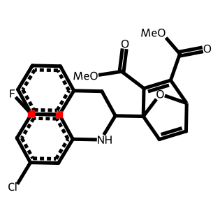 COC(=O)C1=C(C(=O)OC)C2(C(Cc3ccccc3)Nc3cc(F)cc(Cl)c3)C=CC1O2